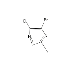 Cc1cnc(Cl)c(Br)n1